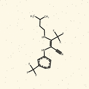 CC(C)CCNC(=C(C#N)Nc1cccc(C(F)(F)F)c1)C(F)(F)F